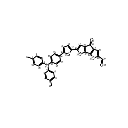 Cc1ccc(N(c2ccc(C)cc2)c2ccc(-c3ccc(-c4cc5c(s4)-c4sc(C=O)cc4C5=O)s3)cc2)cc1